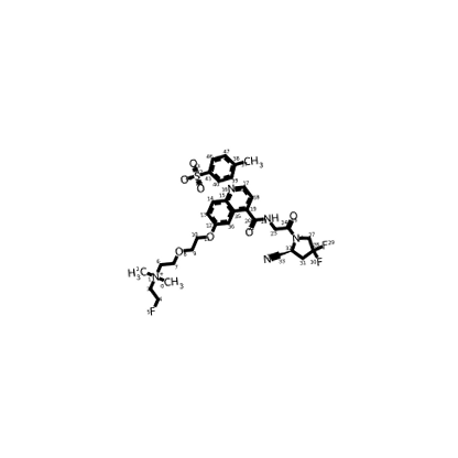 C[N+](C)(CCF)CCOCCOc1ccc2nccc(C(=O)NCC(=O)N3CC(F)(F)C[C@H]3C#N)c2c1.Cc1ccc(S(=O)(=O)[O-])cc1